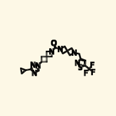 O=C(N1CC2(CC(n3cnc(C4CC4)n3)C2)C1)N1CC2(CN(Cc3cc(C(F)(F)F)sn3)C2)C1